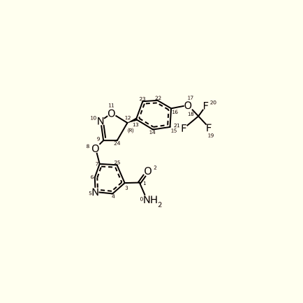 NC(=O)c1cncc(OC2=NO[C@@H](c3ccc(OC(F)(F)F)cc3)C2)c1